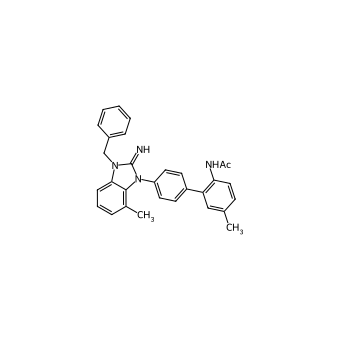 CC(=O)Nc1ccc(C)cc1-c1ccc(-n2c(=N)n(Cc3ccccc3)c3cccc(C)c32)cc1